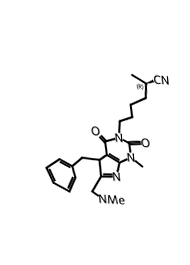 CNCC1=Nc2c(c(=O)n(CCCC[C@@H](C)C#N)c(=O)n2C)C1Cc1ccccc1